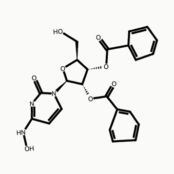 O=C(O[C@@H]1[C@H](OC(=O)c2ccccc2)[C@@H](n2ccc(NO)nc2=O)O[C@H]1CO)c1ccccc1